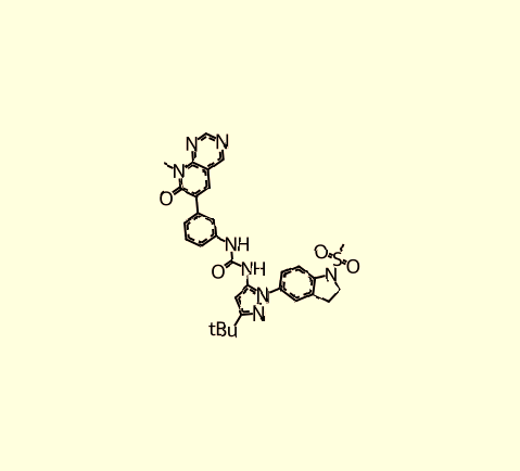 Cn1c(=O)c(-c2cccc(NC(=O)Nc3cc(C(C)(C)C)nn3-c3ccc4c(c3)CCN4S(C)(=O)=O)c2)cc2cncnc21